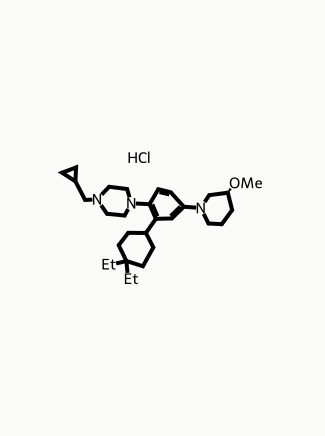 CCC1(CC)CCC(c2cc(N3CCC[C@@H](OC)C3)ccc2N2CCN(CC3CC3)CC2)CC1.Cl